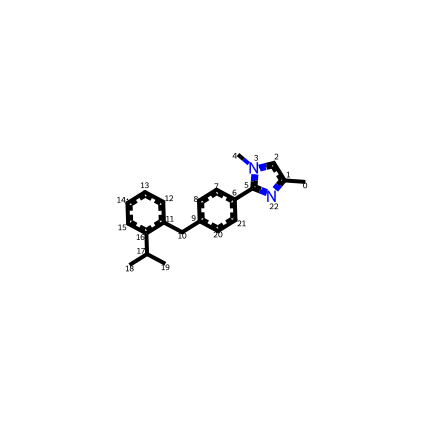 Cc1cn(C)c(-c2ccc(Cc3cc[c]cc3C(C)C)cc2)n1